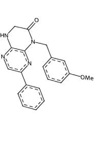 COc1cccc(CN2C(=O)CNc3ncc(-c4ccccc4)nc32)c1